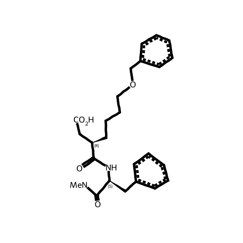 CNC(=O)[C@H](Cc1ccccc1)NC(=O)[C@H](CCCCOCc1ccccc1)CC(=O)O